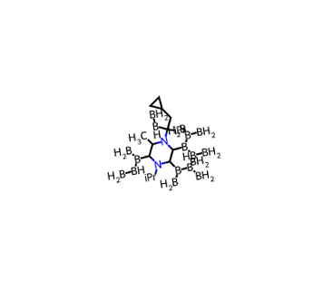 BBB(B)C1C(C)N(C(BB)(CC2CC2)C(C)C)C(B(BB)B(B)B)C(B(B)B(B)B)N1C(C)C